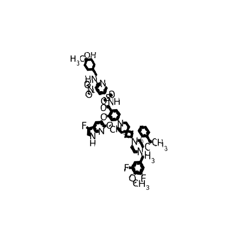 COc1nc2[nH]cc(F)c2cc1Oc1cc(N2CCC3(CC2)CC(N2CCN(Cc4cc(F)c(OC)c(F)c4)C[C@H]2c2ccccc2C(C)C)C3)ccc1C(=O)NS(=O)(=O)c1cnc(NCC2CCC(C)(O)CC2)c([N+](=O)[O-])c1